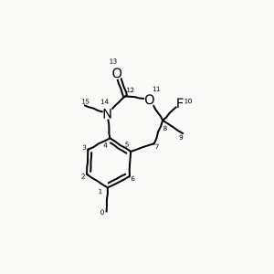 Cc1ccc2c(c1)CC(C)(F)OC(=O)N2C